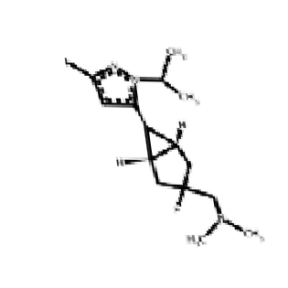 CC(C)n1nc(I)cc1[C@H]1[C@@H]2CC(F)(CN(C)C)C[C@@H]21